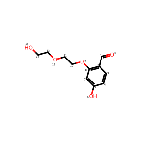 O=Cc1ccc(O)cc1OCCOCCO